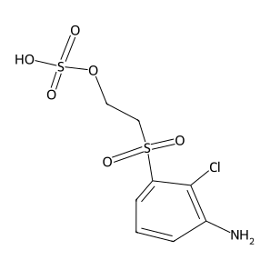 Nc1cccc(S(=O)(=O)CCOS(=O)(=O)O)c1Cl